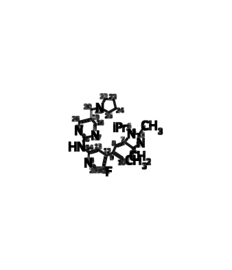 C=c1nc(C)n(C(C)C)/c1=C/C(=C\C)c1cc(Nc2ncc(CN3CCCC3)cn2)ncc1F